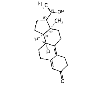 C[C@@H](O)[C@H]1CC[C@@H]2[C@@H]3CCC4=CC(=O)CCC4=C3CC[C@@]21C